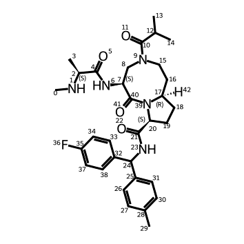 CN[C@@H](C)C(=O)N[C@H]1CN(C(=O)C(C)C)CC[C@H]2CC[C@@H](C(=O)NC(c3ccc(C)cc3)c3ccc(F)cc3)N2C1=O